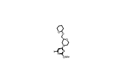 COc1nc(I)cc(N2CCO[C@H](COC3CCCCO3)C2)n1